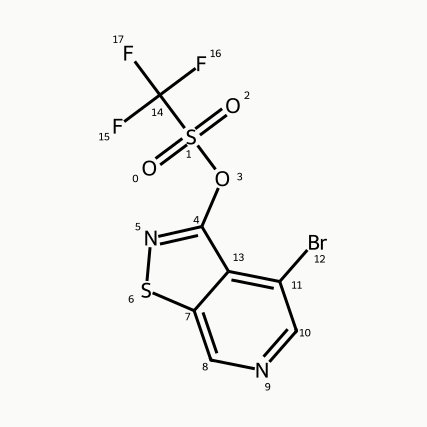 O=S(=O)(Oc1nsc2cncc(Br)c12)C(F)(F)F